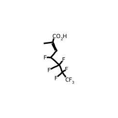 CC(=CC(F)C(F)(F)C(F)(F)C(F)(F)F)C(=O)O